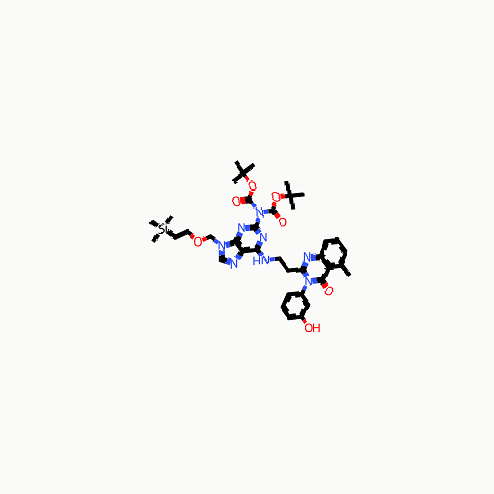 Cc1cccc2nc(CCNc3nc(N(C(=O)OC(C)(C)C)C(=O)OC(C)(C)C)nc4c3ncn4COCC[Si](C)(C)C)n(-c3cccc(O)c3)c(=O)c12